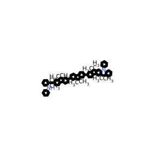 CC(C)(c1ccc2c(c1)C(C)(C)c1cc(-c3ccc4c(c3)C(C)(C)c3cc(-c5ccc6c(c5)C(C)(C)c5cc7c(cc5-6)C(C)(C)c5ccccc5N7c5ccccc5)ccc3-4)ccc1-2)c1ccccc1Nc1ccccc1